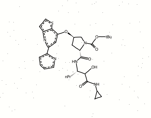 CCC[C@H](NC(=O)[C@@H]1C[C@@H](Oc2cc(-c3ccccn3)nc3ccsc23)CN1C(=O)OC(C)(C)C)C(O)C(=O)NC1CC1